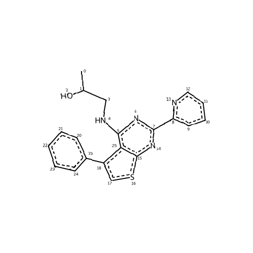 CC(O)CNc1nc(-c2ccccn2)nc2scc(-c3ccccc3)c12